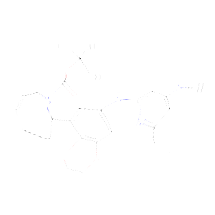 CNc1cc(C)nc(Nc2cc3c(c(C4CCC=CCN4C(=O)OC(C)(C)C)c2)OCCO3)c1